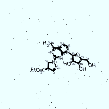 CCOC(=O)C1C=NN(c2nc(N)c3ncn(C4OC(CO)[C@@H](O)[C@H]4O)c3n2)C1